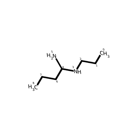 CCCNC(N)CCC